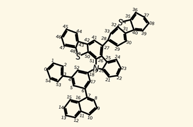 c1ccc(-c2cc(-c3cccc4ccccc34)cc(-n3c4ccccc4c4c(-c5ccc6c(c5)sc5ccccc56)cc5c6ccccc6sc5c43)c2)cc1